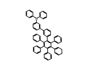 C1=CC(c2c(-c3ccccc3)c(-c3ccccc3)c(-c3ccccc3)c(-c3cccc(-c4cccc(N(c5ccccc5)c5ccccc5)c4)c3)c2-c2ccccc2)=CCC1